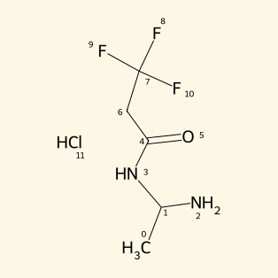 CC(N)NC(=O)CC(F)(F)F.Cl